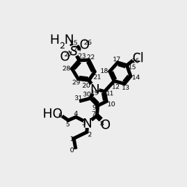 CCCN(CCO)C(=O)c1cc(-c2ccc(Cl)cc2)n(-c2ccc(S(N)(=O)=O)cc2)c1C